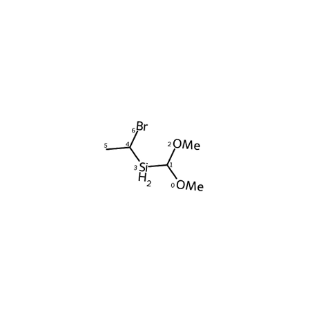 COC(OC)[SiH2]C(C)Br